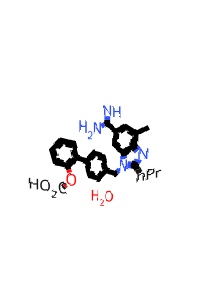 CCCc1nc2c(C)cc(C(=N)N)cc2n1Cc1ccc(-c2ccccc2OC(=O)O)cc1.O